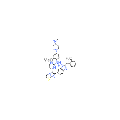 COc1cc(N2CCC(N(C)C)CC2)ccc1Nc1nccc(-c2c(-c3ccc4nc(Cc5ccccc5C(F)(F)F)[nH]c4c3)nc3sccn23)n1